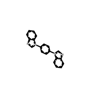 c1ccc2c(c1)ncn2-c1ccc(-n2cnc3ccccc32)cc1